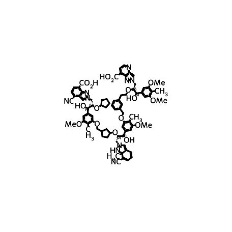 COc1cc([C@@H](O)[C@H](Cn2cc3nccc(C(=O)O)c3n2)OCCc2cccc(COc3cc([C@@H](O)[C@H](CN4C=C5C=CC=C(C#N)C5(C)N4)OC4CCC(COc5cc([C@@H](O)[C@H](Cn6cc7c(C#N)ccc(C(=O)O)c7n6)OC6CCCC6)cc(OC)c5C)C4)cc(OC)c3C)c2)cc(OC)c1C